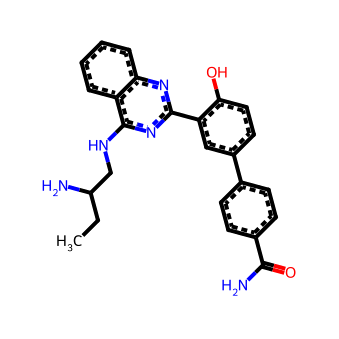 CCC(N)CNc1nc(-c2cc(-c3ccc(C(N)=O)cc3)ccc2O)nc2ccccc12